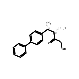 CC(C)(C)OC(=O)[C@@H](C(=O)O)[C@@H](N)c1ccc(-c2ccccc2)cc1